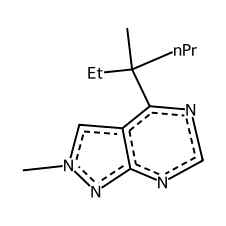 CCCC(C)(CC)c1ncnc2nn(C)cc12